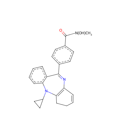 CN(O)C(=O)c1ccc(C2=NC3=C(CCC=C3)N(C3CC3)c3ccccc32)cc1